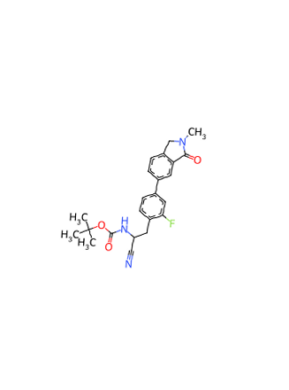 CN1Cc2ccc(-c3ccc(CC(C#N)NC(=O)OC(C)(C)C)c(F)c3)cc2C1=O